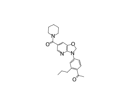 CCCc1cc(N2COc3cc(C(=O)N4CCCCC4)cnc32)ccc1C(C)=O